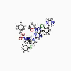 O=C(NC[C@]1(c2ccccc2F)[C@@H]2CCN(c3cnc4c(-c5cccc(-c6cnccn6)c5Cl)nn(C5CCCCO5)c4n3)C[C@@H]21)OCc1ccccc1